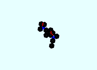 c1ccc(-c2ccc(N(c3ccc4c(c3)-c3ccccc3C43c4ccccc4-c4cc(N(c5ccccc5)c5ccccc5-c5ccccc5)ccc43)c3ccccc3-c3ccccc3)cc2)cc1